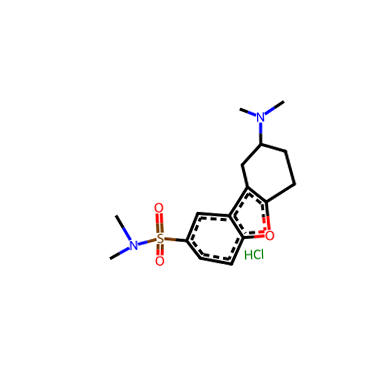 CN(C)C1CCc2oc3ccc(S(=O)(=O)N(C)C)cc3c2C1.Cl